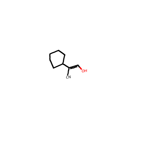 N#C/C(=C\O)C1CCCCC1